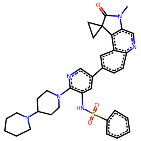 CN1C(=O)C2(CC2)c2c1cnc1ccc(-c3cnc(N4CCC(N5CCCCC5)CC4)c(NS(=O)(=O)c4ccccc4)c3)cc21